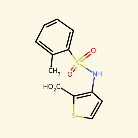 Cc1ccccc1S(=O)(=O)Nc1ccsc1C(=O)O